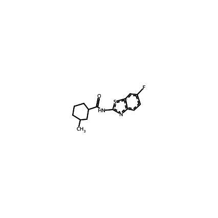 CC1CCCC(C(=O)Nc2nc3ccc(F)cc3s2)C1